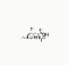 CCC[n+]1ccc(C[C@@H](NC(C)=O)C(=O)O)cc1.[Br-]